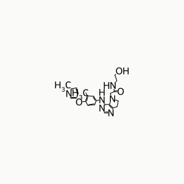 Cc1ccc(Oc2ccc(Nc3ncnc4c3N(CC(=O)NCCO)CC4)cc2C)cn1